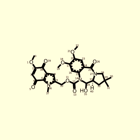 COC1=CC(=O)c2c(cc(COC(=O)N3c4cc(OC)c(OC)cc4C(=O)N4CC(C)(C)C[C@H]4C3O)n2C)C1=O